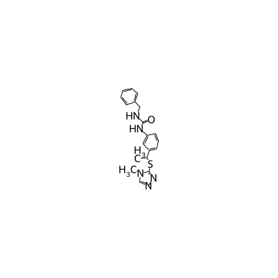 CC(Sc1nncn1C)c1cccc(NC(=O)NCc2ccccc2)c1